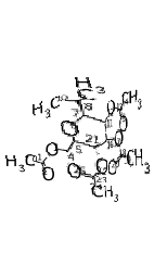 CC(=O)OCC1O[C@@H](C(C)C)C(OC(C)=O)C(OC(C)=O)[C@@H]1OC(C)=O